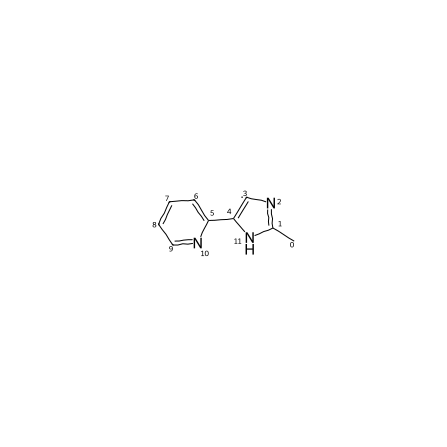 Cc1n[c]c(-c2ccccn2)[nH]1